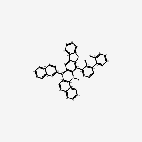 CB1c2c(cc3c(sc4ccccc43)c2-c2cccc(-c3ccccc3C)c2C)N(c2ccc3ccccc3c2)c2ccc3ccccc3c21